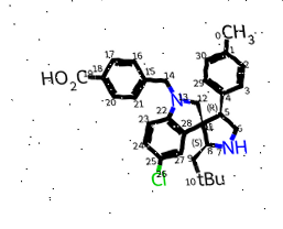 Cc1ccc([C@H]2CN[C@@H](CC(C)(C)C)[C@@]23CN(Cc2ccc(C(=O)O)cc2)c2ccc(Cl)cc23)cc1